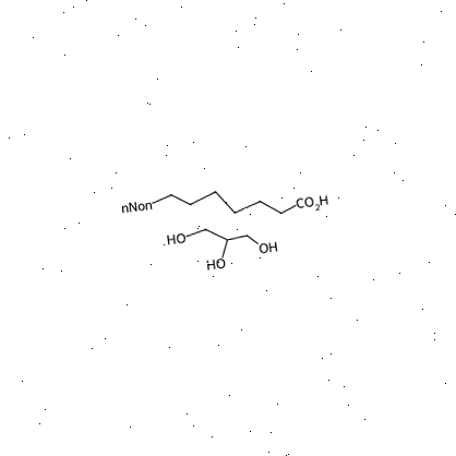 CCCCCCCCCCCCCCCC(=O)O.OCC(O)CO